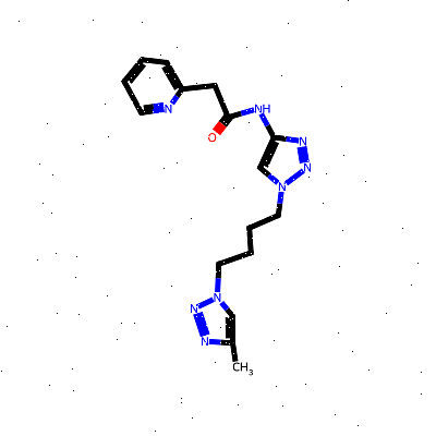 Cc1cn(CCCCn2cc(NC(=O)Cc3ccccn3)nn2)nn1